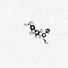 CCO[C@H]1CN(c2nccs2)C[C@H]1Nc1c(C)nc(-c2ccc(N(C)C)cc2Cl)n(C)c1=O